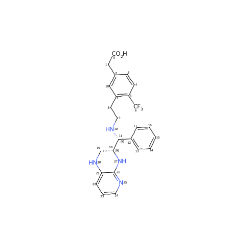 O=C(O)Cc1ccc(C(F)(F)F)c(CCN[C@H](c2ccccc2)[C@H]2CNc3cccnc3N2)c1